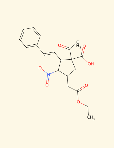 CCOC(=O)CC1CC(C(C)=O)(C(=O)O)C(C=Cc2ccccc2)C1[N+](=O)[O-]